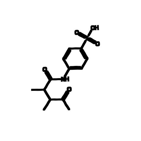 CC(=O)C(C)C(C)C(=O)Nc1ccc(S(=O)(=O)O)cc1